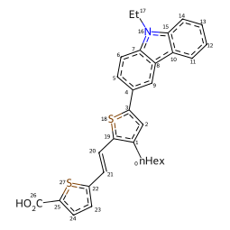 CCCCCCc1cc(-c2ccc3c(c2)c2ccccc2n3CC)sc1/C=C/c1ccc(C(=O)O)s1